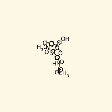 CN(C(=O)c1cc2c(s1)-c1ccc(C(=O)NCCS(C)(=O)=O)cc1OCC2)c1cc(C(=O)N2CC(O)C2)ccc1Cl